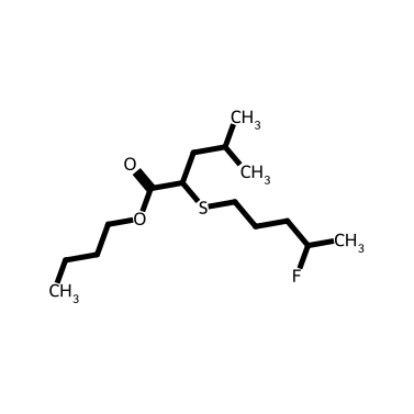 CCCCOC(=O)C(CC(C)C)SCCCC(C)F